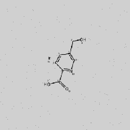 O=C(O)c1ccc(CO)cn1.[Ir]